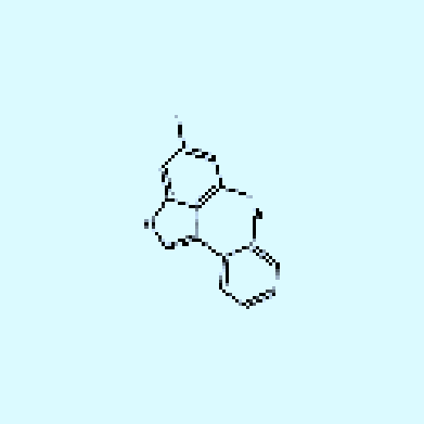 Cc1cc(C)c2c(-c3ccccc3Br)coc2c1